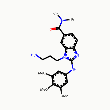 CCCN(CCC)C(=O)c1ccc2nc(Nc3cc(OC)c(OC)c(OC)c3)n(CCCN)c2c1